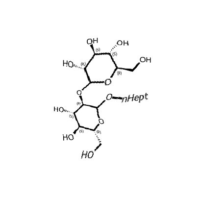 CCCCCCCOC1O[C@H](CO)[C@@H](O)[C@H](O)[C@H]1OC1O[C@H](CO)[C@@H](O)[C@H](O)[C@H]1O